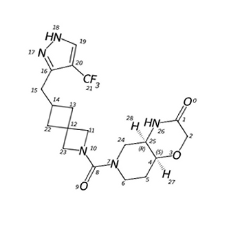 O=C1CO[C@H]2CCN(C(=O)N3CC4(CC(Cc5n[nH]cc5C(F)(F)F)C4)C3)C[C@H]2N1